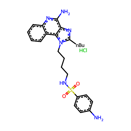 CCCCc1nc2c(N)nc3ccccc3c2n1CCCCNS(=O)(=O)c1ccc(N)cc1.Cl